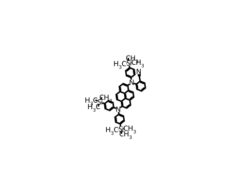 C[Si](C)(C)c1ccc(N(c2ccc([Si](C)(C)C)cc2)c2ccc3ccc4c(N(c5ccc([Si](C)(C)C)cc5)c5ccccc5C#N)ccc5ccc2c3c54)cc1